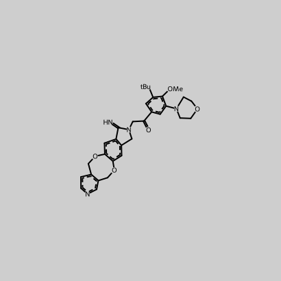 COc1c(N2CCOCC2)cc(C(=O)CN2Cc3cc4c(cc3C2=N)OCc2ccncc2CO4)cc1C(C)(C)C